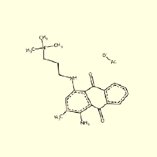 CC(=O)[O-].Cc1cc(NCCC[N+](C)(C)C)c2c(c1N)C(=O)c1ccccc1C2=O